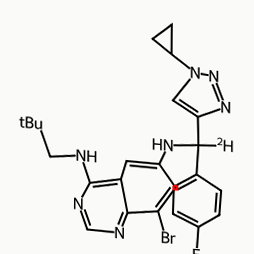 [2H]C(Nc1cc(Br)c2ncnc(NCC(C)(C)C)c2c1)(c1ccc(F)cc1)c1cn(C2CC2)nn1